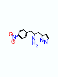 N[C@@H](Cc1ccc([N+](=O)[O-])cc1)CC1C=CN=N1